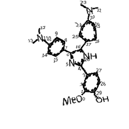 COc1cc(-c2nc(-c3ccc(N(C)C)cc3)c(-c3ccc(N(C)C)cc3)[nH]2)ccc1O